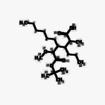 CCCCCCC(C(CCC)C(C)C(=O)O)N(OC)C(=O)OC(C)(C)C